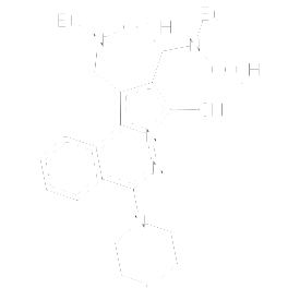 CCN(Cc1c(CN(CC)C(=O)O)c2c3ccccc3c(N3CCOCC3)nn2c1C)C(=O)O